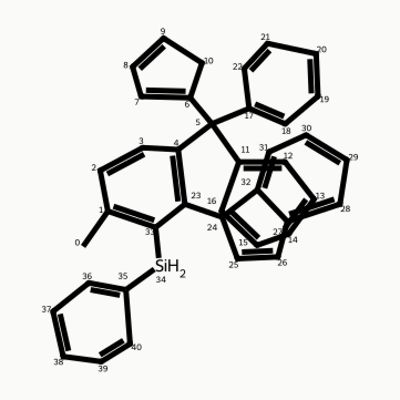 Cc1ccc(C(C2=CC=CC2)(c2ccccc2)c2ccccc2)c(C2C=Cc3ccccc32)c1[SiH2]c1ccccc1